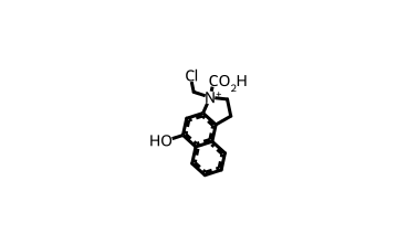 O=C(O)[N+]1(CCl)CCc2c1cc(O)c1ccccc21